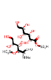 CC(=O)N[C@@H](C=O)[C@@H](OS(=O)(=O)O)[C@@H](O)[C@H](O)CO.O=C(OS(=O)(=O)O)[C@H](O)[C@@H](O)[C@H](O)[C@H](O)CO